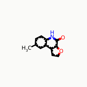 Cc1ccc2[nH]c(=O)c3occc3c2c1